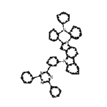 c1ccc(-c2nc(-c3ccccc3)nc(-c3cccc(-n4c5ccccc5c5ccc6c(cc7n6-c6ccccc6N(c6ccccc6)c6ccccc6-7)c54)c3)n2)cc1